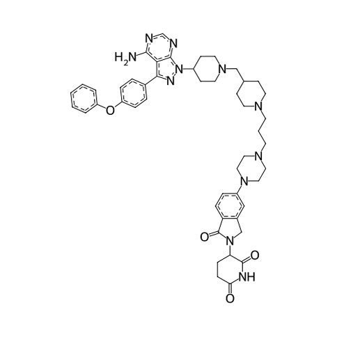 Nc1ncnc2c1c(-c1ccc(Oc3ccccc3)cc1)nn2C1CCN(CC2CCN(CCCN3CCN(c4ccc5c(c4)CN(C4CCC(=O)NC4=O)C5=O)CC3)CC2)CC1